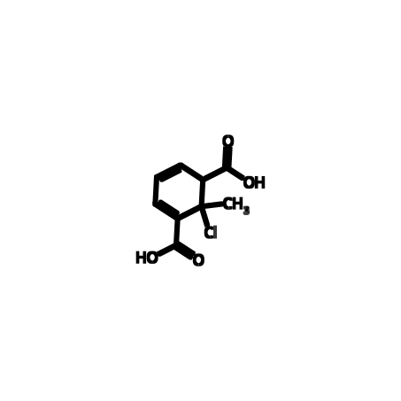 CC1(Cl)C(C(=O)O)=CC=CC1C(=O)O